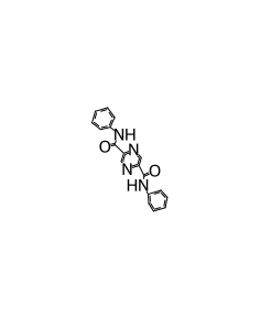 O=C(Nc1ccccc1)c1cnc(C(=O)Nc2ccccc2)cn1